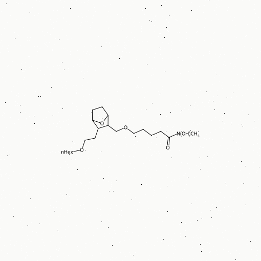 CCCCCCOCCC1C2CCC(O2)C1COCCCCC(=O)N(C)O